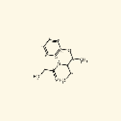 CCC(=O)OC(CC)C(C)Oc1ccccc1